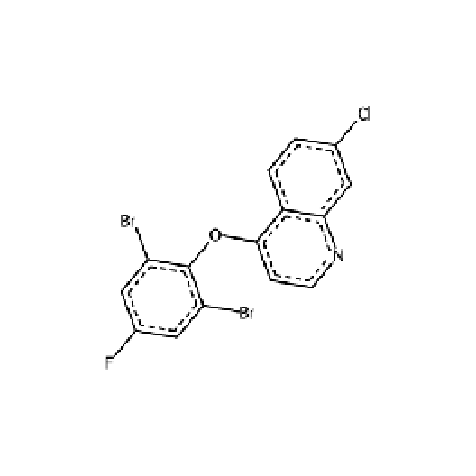 Fc1cc(Br)c(Oc2ccnc3cc(Cl)ccc23)c(Br)c1